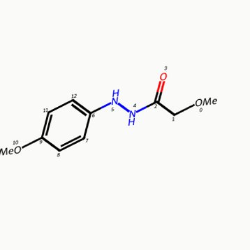 COCC(=O)NNc1ccc(OC)cc1